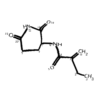 C=C(CC)C(=O)NC1CCC(=O)NC1=O